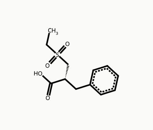 CCS(=O)(=O)C[C@H](Cc1ccccc1)C(=O)O